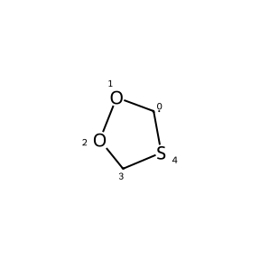 [CH]1OOCS1